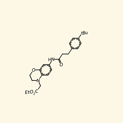 CCOC(=O)CN1CCOc2cc(NC(=O)CCc3ccc(C(C)(C)C)cc3)ccc21